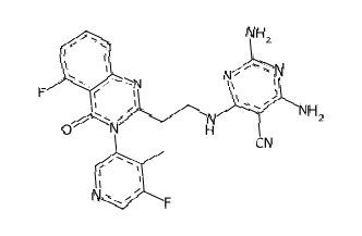 Cc1c(F)cncc1-n1c(CCNc2nc(N)nc(N)c2C#N)nc2cccc(F)c2c1=O